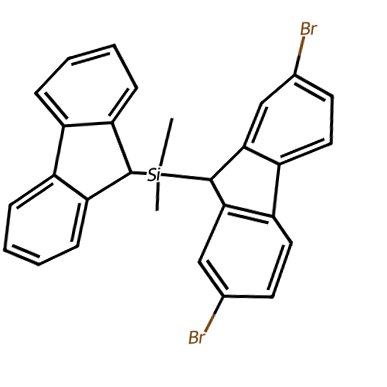 C[Si](C)(C1c2ccccc2-c2ccccc21)C1c2cc(Br)ccc2-c2ccc(Br)cc21